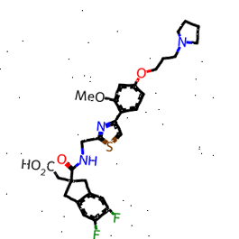 COc1cc(OCCCN2CCCC2)ccc1-c1csc(CNC(=O)C2(CC(=O)O)Cc3cc(F)c(F)cc3C2)n1